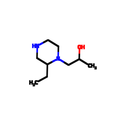 CCC1CNCCN1CC(C)O